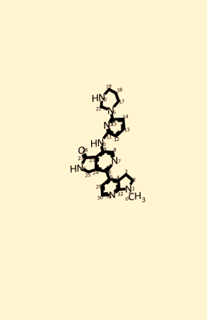 CN1CCc2c(-c3ncc(Nc4cccc(N5CCCNC5)n4)c4c3CNC4=O)ccnc21